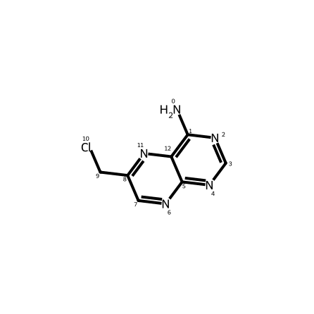 Nc1ncnc2ncc(CCl)nc12